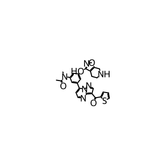 CC(=O)N(C)c1cccc(-c2ccnc3c(C(=O)c4cccs4)cnn23)c1.Oc1noc2c1CCNC2